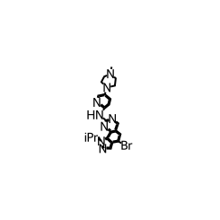 CC(C)n1ncc2c(Br)cc3cnc(Nc4ccc(N5CCN(C)CC5)cn4)nc3c21